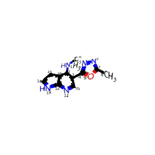 CNc1c(-c2nnc(C)o2)cnc2[nH]ccc12